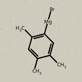 Cc1cc(C)[c]([Mg][Br])cc1C